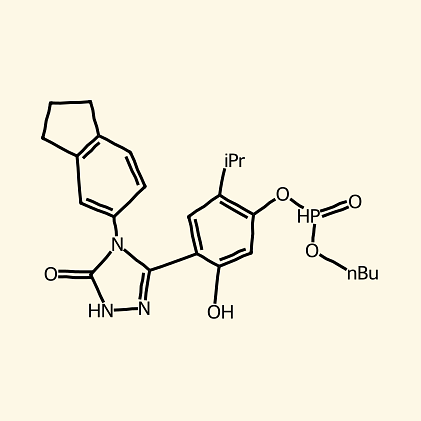 CCCCO[PH](=O)Oc1cc(O)c(-c2n[nH]c(=O)n2-c2ccc3c(c2)CCC3)cc1C(C)C